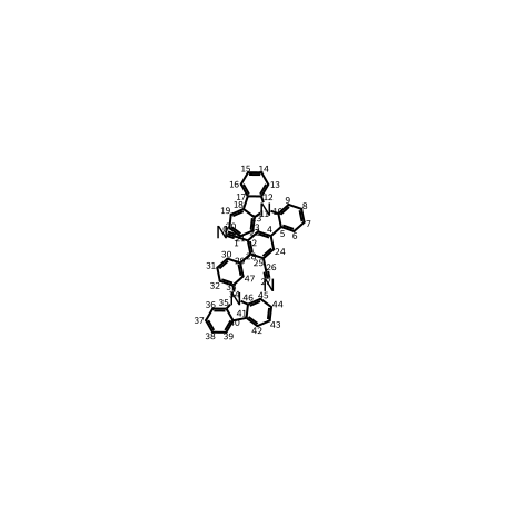 N#Cc1cc(-c2ccccc2-n2c3ccccc3c3ccccc32)cc(C#N)c1-c1cccc(-n2c3ccccc3c3ccccc32)c1